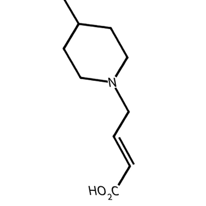 CC1CCN(C/C=C/C(=O)O)CC1